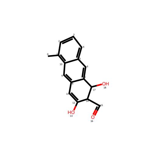 Cc1cccc2cc3c(cc12)C=C(O)C(C=O)C3O